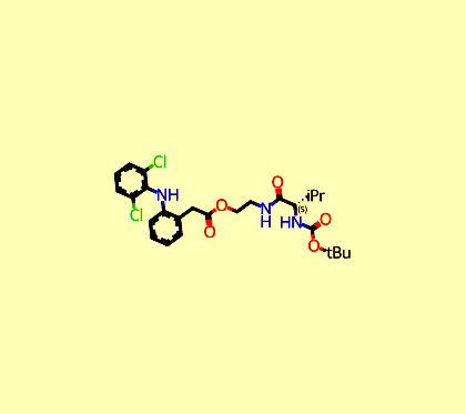 CC(C)[C@H](NC(=O)OC(C)(C)C)C(=O)NCCOC(=O)Cc1ccccc1Nc1c(Cl)cccc1Cl